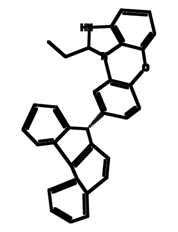 CCC1Nc2cccc3c2N1c1cc([C@H]2c4ccccc4-c4c2ccc2ccccc42)ccc1O3